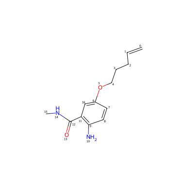 C=CCCCOc1ccc(N)c(C(=O)NC)c1